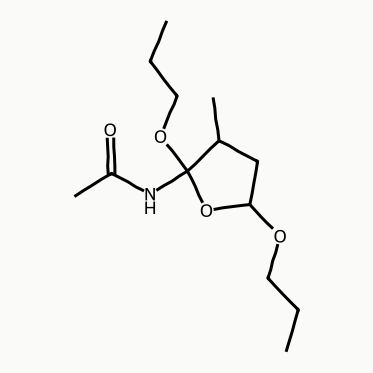 CCCOC1CC(C)C(NC(C)=O)(OCCC)O1